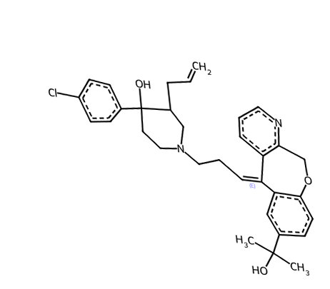 C=CCC1CN(CC/C=C2/c3cc(C(C)(C)O)ccc3OCc3ncccc32)CCC1(O)c1ccc(Cl)cc1